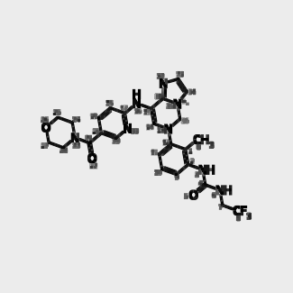 Cc1c(NC(=O)NCC(F)(F)F)cccc1N1C=C(Nc2ccc(C(=O)N3CCOCC3)cn2)C2=NC=C[N+]2C1